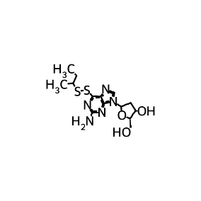 CCC(C)SSc1nc(N)nc2c1ncn2C1C[C@H](O)[C@@H](CO)O1